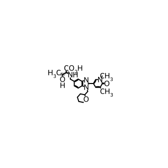 Cc1cc(-c2nc3cc(CN[C@H](C(=O)O)[C@@H](C)O)ccc3n2CC2CCCCO2)cn(C)c1=O